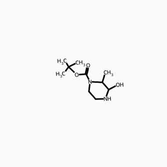 CC1C(O)NCCN1C(=O)OC(C)(C)C